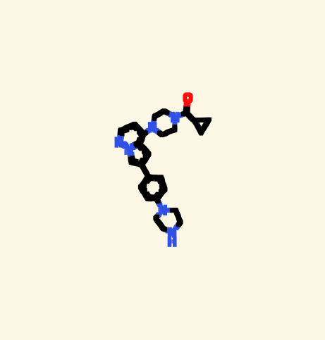 O=C(C1CC1)N1CCN(c2ccnn3cc(-c4ccc(N5CCNCC5)cc4)cc23)CC1